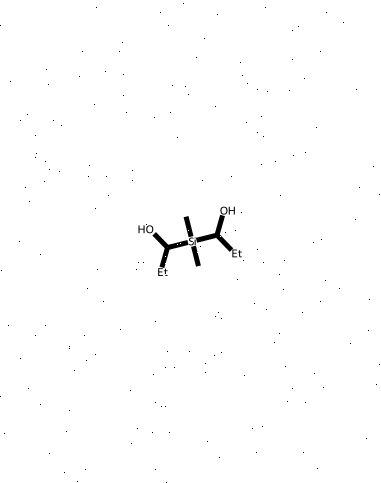 CCC(O)[Si](C)(C)C(O)CC